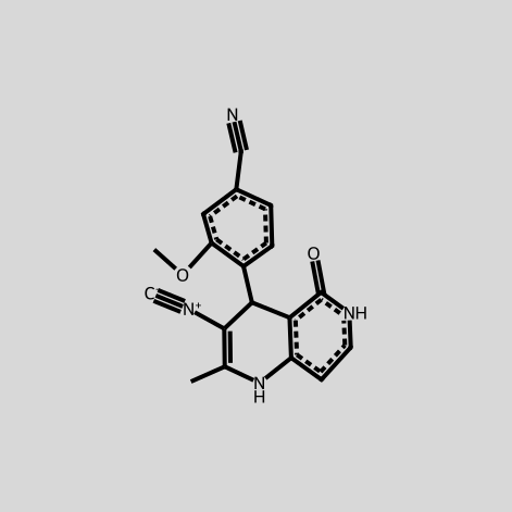 [C-]#[N+]C1=C(C)Nc2cc[nH]c(=O)c2C1c1ccc(C#N)cc1OC